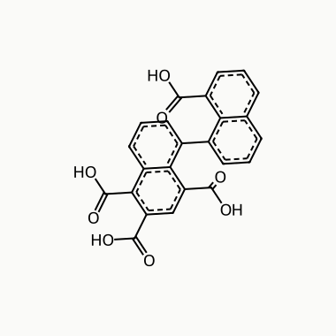 O=C(O)c1cc(C(=O)O)c2c(-c3cccc4cccc(C(=O)O)c34)cccc2c1C(=O)O